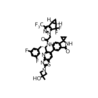 CC1(O)CN(c2nc3nc([C@H](Cc4cc(F)cc(F)c4)NC(=O)Cn4nc(C(F)(F)F)c5c4C(F)(F)[C@@H]4C[C@H]54)c(-c4ccc5c(c4)C(=O)NC54CC4)cc3s2)C1